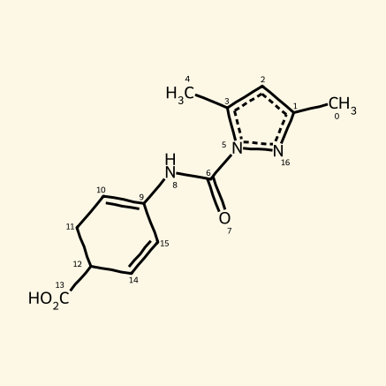 Cc1cc(C)n(C(=O)NC2=CCC(C(=O)O)C=C2)n1